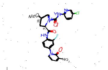 CO[C@@H]1C[C@H](C(=O)Nc2ccc(-n3cccc([N+](=O)[O-])c3=O)cc2F)N(C(=O)Nc2ccc(Cl)cn2)C1